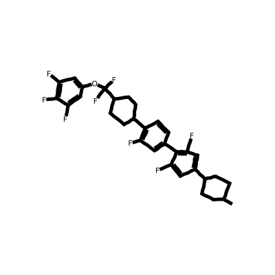 CC1CCC(c2cc(F)c(-c3ccc(C4CCC(C(F)(F)Oc5cc(F)c(F)c(F)c5)CC4)c(F)c3)c(F)c2)CC1